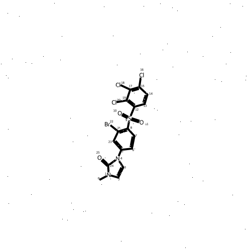 Cn1ccn(-c2ccc(S(=O)(=O)c3ccc(Cl)c(Cl)c3Cl)c(Br)c2)c1=O